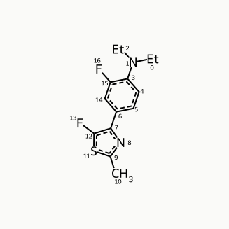 CCN(CC)c1ccc(-c2nc(C)sc2F)cc1F